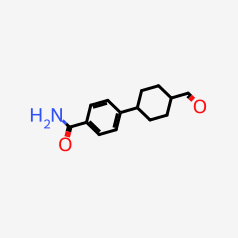 NC(=O)c1ccc(C2CCC(C=O)CC2)cc1